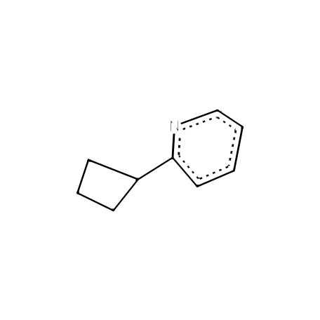 [c]1cccc(C2CCC2)n1